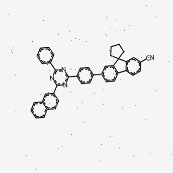 N#Cc1ccc2c(c1)C1(CCCC1)c1cc(-c3ccc(-c4nc(-c5ccccc5)nc(-c5ccc6ccccc6c5)n4)cc3)ccc1-2